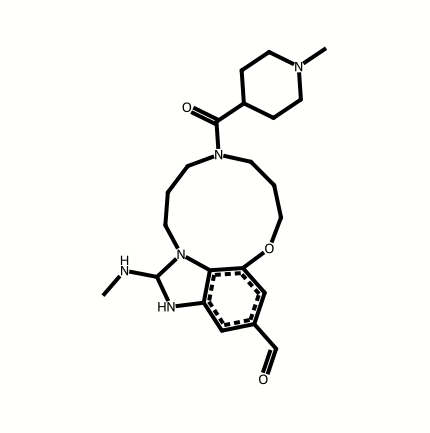 CNC1Nc2cc(C=O)cc3c2N1CCCN(C(=O)C1CCN(C)CC1)CCCO3